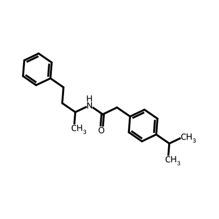 CC(CCc1ccccc1)NC(=O)Cc1ccc(C(C)C)cc1